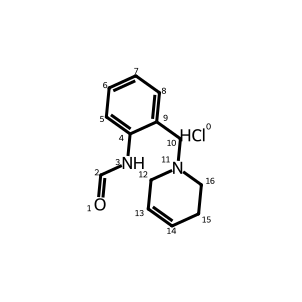 Cl.O=CNc1ccccc1CN1CC=CCC1